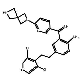 N=C(c1ccc(N2CC3(CNC3)C2)nc1)c1cc(CCC2=C(Cl)CNC=C2Cl)ccc1N